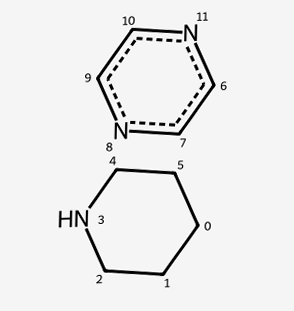 C1CCNCC1.c1cnccn1